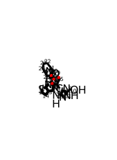 CN(c1nc(Nc2cc(CO)[nH]n2)c2ccsc2n1)C1CC2CCCC(C1)N2S(=O)(=O)N1CC(C#N)C1